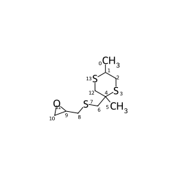 CC1CSC(C)(CSCC2CO2)CS1